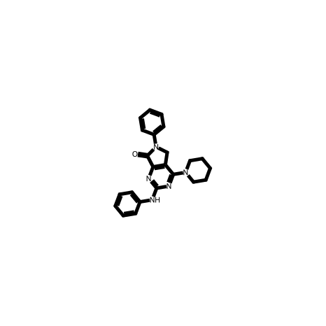 O=C1c2nc(Nc3ccccc3)nc(N3CCCCC3)c2CN1c1ccccc1